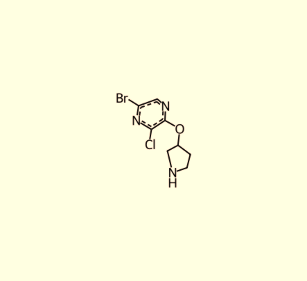 Clc1nc(Br)cnc1OC1CCNC1